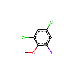 COc1c(Cl)cc(Cl)cc1I